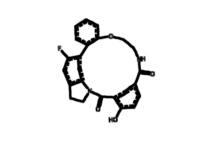 O=C1NCCOc2ccccc2-c2cc3c(cc2F)CCN3C(=O)c2cc1ccc2O